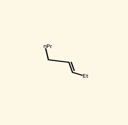 [CH2]CC=CCCC[CH2]